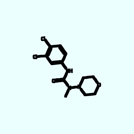 CN(C(=O)Nc1ccc(Cl)c(Cl)c1)N1CCOCC1